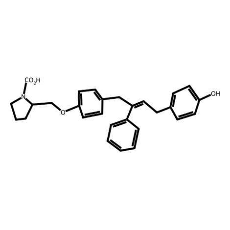 O=C(O)N1CCCC1COc1ccc(CC(=CCc2ccc(O)cc2)c2ccccc2)cc1